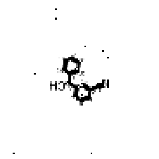 N#Cc1cccc(C(O)c2ccccc2)c1